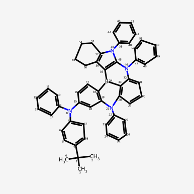 CC(C)(C)c1ccc(N(c2ccccc2)c2ccc3c(c2)N(c2ccccc2)c2cccc4c2B3c2c3c(n(-c5ccccc5)c2N4c2ccccc2)CCCC3)cc1